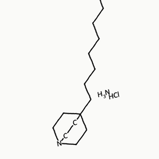 CCCCCCCCC12CCN(CC1)CC2.Cl.N